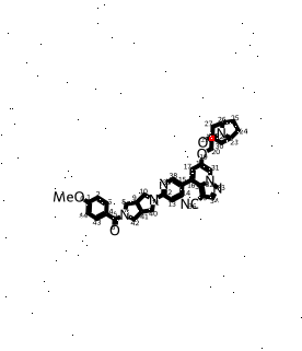 COc1ccc(C(=O)N2CC3CN(c4ccc(-c5cc(OCCN6C7CCC6CC(=O)C7)cn6ncc(C#N)c56)cn4)CC3C2)cc1